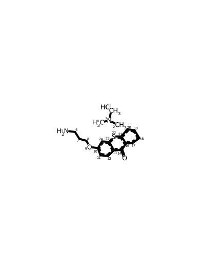 CN(C)C.Cl.NCCCOc1ccc2c(=O)c3ccccc3sc2c1